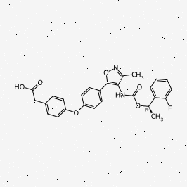 Cc1noc(-c2ccc(Oc3ccc(CC(=O)O)cc3)cc2)c1NC(=O)O[C@H](C)c1ccccc1F